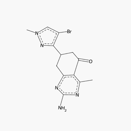 Cc1nc(N)nc2c1C(=O)CC(c1nn(C)cc1Br)C2